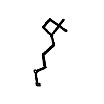 CCOCCCN1CCC1(C)C